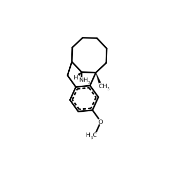 COc1ccc2c(c1)[C@@]1(C)CCCCCC(C2)[C@H]1N